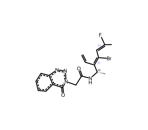 C=C/C(=C(Br)\C=C(/C)F)[C@H](C)NC(=O)Cn1nnc2ccccc2c1=O